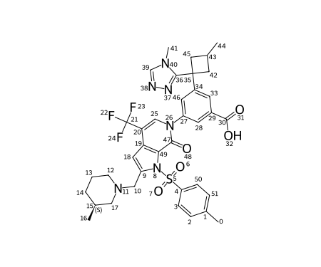 Cc1ccc(S(=O)(=O)n2c(CN3CCC[C@H](C)C3)cc3c(C(F)(F)F)cn(-c4cc(C(=O)O)cc(C5(c6nncn6C)CC(C)C5)c4)c(=O)c32)cc1